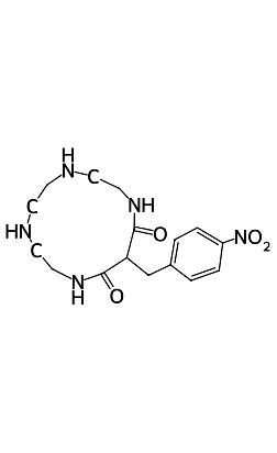 O=C1NCCNCCNCCNC(=O)C1Cc1ccc([N+](=O)[O-])cc1